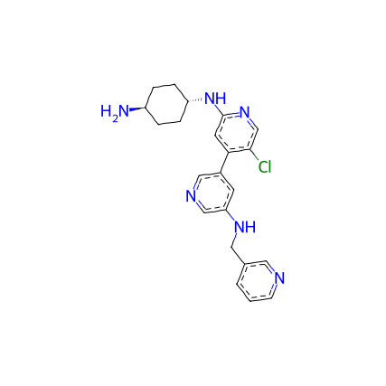 N[C@H]1CC[C@H](Nc2cc(-c3cncc(NCc4cccnc4)c3)c(Cl)cn2)CC1